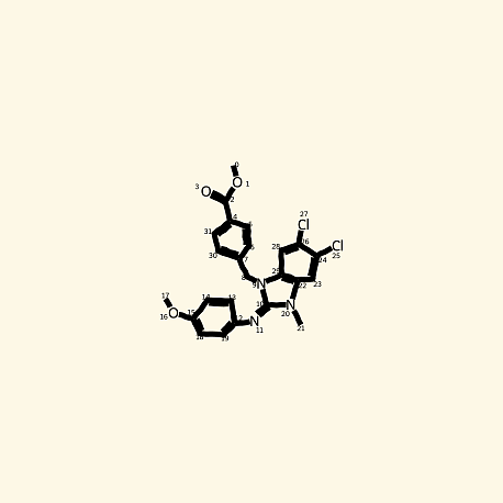 COC(=O)c1ccc(Cn2c(=Nc3ccc(OC)cc3)n(C)c3cc(Cl)c(Cl)cc32)cc1